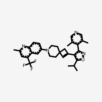 Cc1cc(C(F)(F)F)c2cc(N3CCC4(C=C(c5c(-c6c(C)cncc6C)noc5C(C)C)C4)CC3)ccc2n1